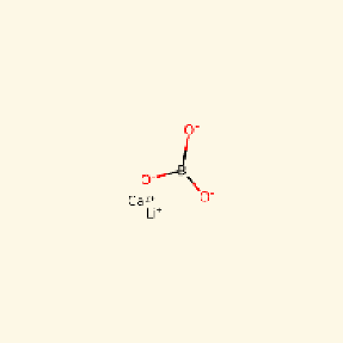 [Ca+2].[Li+].[O-]B([O-])[O-]